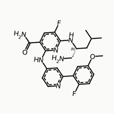 COc1ccc(F)c(-c2cc(Nc3nc(N[C@@H](CN)CC(C)C)c(F)cc3C(N)=O)ccn2)c1